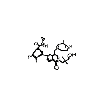 Cc1c(F)cc(C(=O)NC2CC2)cc1-c1ccc2c(=O)n(CC(C)(C)CO)cc(CN3CCN[C@@H](C)C3)c2c1